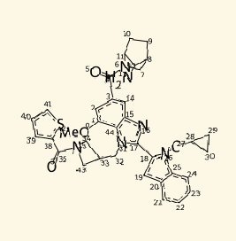 COc1cc(C(=O)N2CC3CCC2C3N)cc2nc(-c3cc4ccccc4n3CC3CC3)n(CC3CN(C(=O)c4cccs4)C3)c12